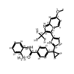 COc1ccn2c(-c3csc(C4(c5ccc(C(=O)Nc6ccccc6N)cc5)CC4)n3)c(C(F)(F)F)nc2c1